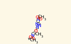 CC1CN(C(=O)OC2(C)CC2)CCC1COC1CN(c2ncc3c(n2)CCN(S(C)(=O)=O)C3)C1